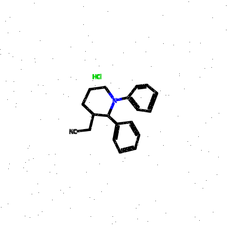 Cl.N#CCC1CCCN(c2ccccc2)C1c1ccccc1